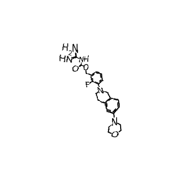 N=C(N)NC(=O)OCc1cccc(N2CCc3cc(N4CCOCC4)ccc3C2)c1F